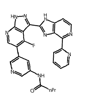 CCCC(=O)Nc1cncc(-c2cnc3[nH]nc(-c4nc5c(-c6ccccn6)nccc5[nH]4)c3c2F)c1